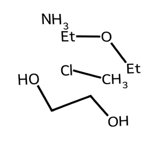 CCOCC.CCl.N.OCCO